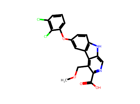 COCc1c(C(=O)O)ncc2[nH]c3ccc(Oc4cccc(Cl)c4Cl)cc3c12